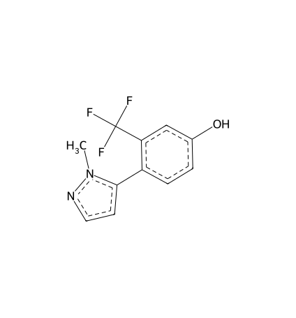 Cn1nccc1-c1ccc(O)cc1C(F)(F)F